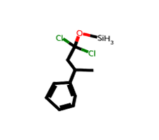 CC(CC(Cl)(Cl)O[SiH3])c1ccccc1